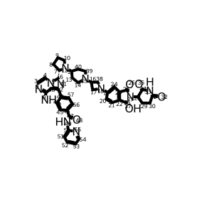 Nc1nccn2c([C@@H]3CCCN3C3CCN(C4CN(c5ccc6c(c5)C(=O)N(C5CCC(=O)NC5=O)C6O)C4)CC3)nc(-c3ccc(C(=O)Nc4ccccn4)cc3)c12